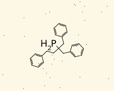 PC(CCc1ccccc1)(Cc1ccccc1)Cc1ccccc1